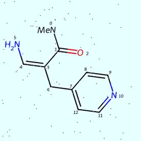 CNC(=O)C(=CN)Cc1ccncc1